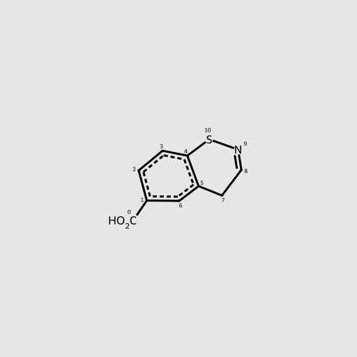 O=C(O)c1ccc2c(c1)CC=NS2